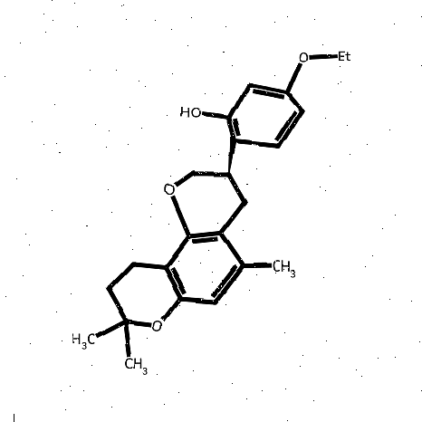 CCOc1ccc([C@@H]2COc3c(c(C)cc4c3CCC(C)(C)O4)C2)c(O)c1